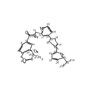 C[C@@]1(C#N)COCc2ccc(C(=O)NCc3cc(C4CCN(c5cccc(C(F)F)n5)C4)ccn3)cc21